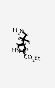 CCOC(=O)c1cc(C(C)(C)CN)c[nH]1